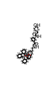 O=C(CN1CCC(O)CC1)Nc1cccc(C(=O)CNCCN2CCC(OC(=O)N(c3ccccc3-c3ccccc3)c3ccccc3-c3ccccc3)CC2)c1